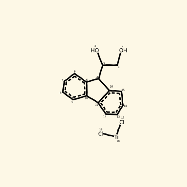 OCC(O)C1c2ccccc2-c2ccccc21.[Cl][Ti][Cl]